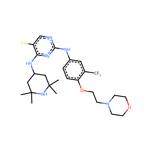 CC1(C)CC(Nc2nc(Nc3ccc(OCCN4CCOCC4)c(C(F)(F)F)c3)ncc2F)CC(C)(C)N1